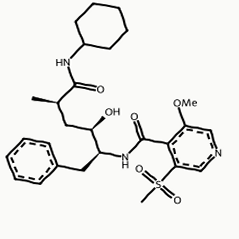 COc1cncc(S(C)(=O)=O)c1C(=O)N[C@@H](Cc1ccccc1)[C@H](O)C[C@@H](C)C(=O)NC1CCCCC1